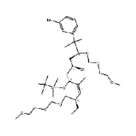 CC[C@H](/C=C(/C)[C@@H](C[C@H](O)C[C@H](OCOCCOC)C(C)(C)c1cccc(Br)c1)O[Si](C)(C)C(C)(C)C)COCOCCOC